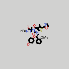 CCCNC(=O)C(C)(C)n1c(=O)c2c(C)c(-c3ncco3)sc2n(C[C@H](OC2CCC(=O)CC2)c2ccccc2OC)c1=O